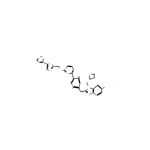 O=C(O)c1ccc2nc(Cc3cc(F)c(-c4cccc(OCc5ncc(-c6ccns6)s5)n4)cc3F)n(C[C@@H]3CCO3)c2c1